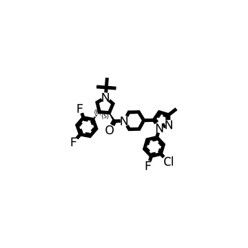 Cc1cc(C2CCN(C(=O)[C@@H]3CN(C(C)(C)C)C[C@H]3c3ccc(F)cc3F)CC2)n(-c2ccc(F)c(Cl)c2)n1